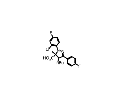 CCCCC1C(c2ccc(F)cc2)=NN(c2ccc(F)cc2Cl)C1(C)C(=O)O